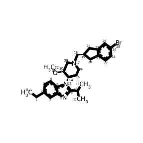 CCc1ccc2c(c1)nc(C(C)C)n2[C@H]1CCN(C[C@@H]2Cc3ccc(Br)cc3C2)C[C@@H]1OC